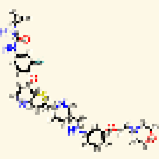 O=C(Nc1ccc(Oc2ccnc3cc(-c4ccc(CNc5cccc(OCCN6CCOCC6)c5)cn4)sc23)c(F)c1)NC1CC1